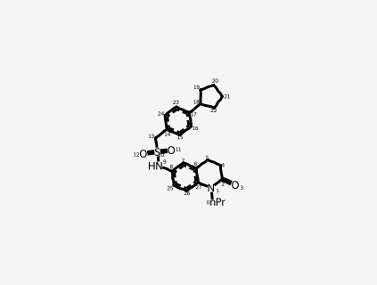 CCCN1C(=O)CCc2cc(NS(=O)(=O)Cc3ccc(C4CCCC4)cc3)ccc21